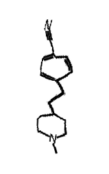 CN1CCC(CCc2ccc(C#N)cc2)CC1